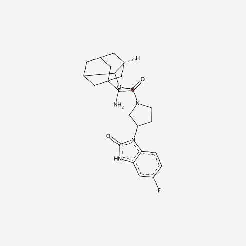 NC(=O)C12CC3CC(C1)C(OC(=O)N1CCC(n4c(=O)[nH]c5cc(F)ccc54)C1)[C@@H](C3)C2